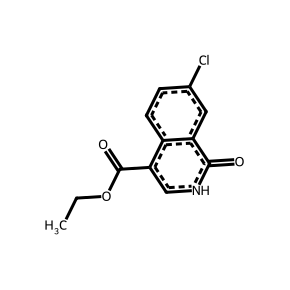 CCOC(=O)c1c[nH]c(=O)c2cc(Cl)ccc12